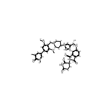 COc1cc(-c2cc(C)c(=O)n(C)c2)cc(OC)c1CN1CCC(n2cc([C@H](C)Oc3ccc4c(c3)C(=O)N(C3CCC(=O)NC3=O)C4=O)nn2)CC1